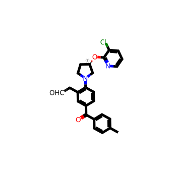 Cc1ccc(C(=O)c2ccc(N3CC[C@H](Oc4ncccc4Cl)C3)c(CC=O)c2)cc1